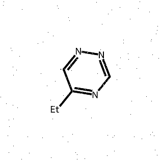 CCc1[c]nncn1